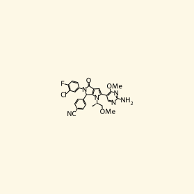 COC[C@@H](C)n1c(-c2cnc(N)nc2OC)cc2c1C(c1ccc(C#N)cc1)N(c1ccc(F)c(Cl)c1)C2=O